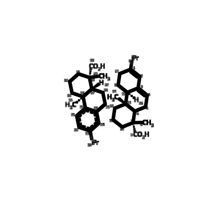 CC(C)C1=CC2=CCC3[C@](C)(C(=O)O)CCC[C@]3(C)[C@H]2CC1.CC(C)c1ccc2c(c1)CC[C@H]1[C@@](C)(C(=O)O)CCC[C@]21C